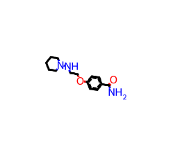 NC(=O)c1ccc(OCCNN2CCCCC2)cc1